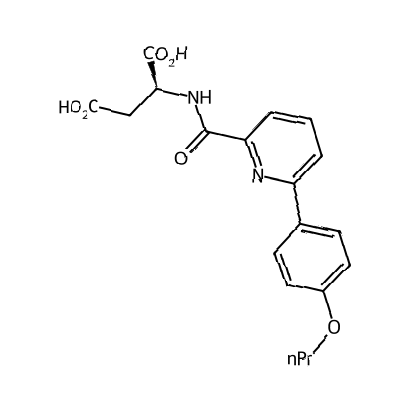 CCCOc1ccc(-c2cccc(C(=O)N[C@@H](CC(=O)O)C(=O)O)n2)cc1